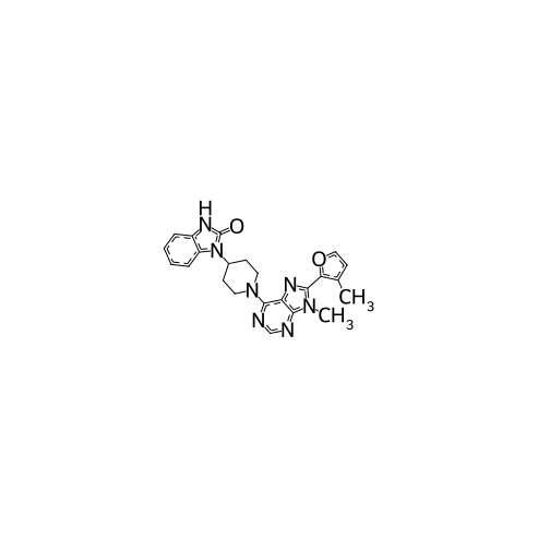 Cc1ccoc1-c1nc2c(N3CCC(n4c(=O)[nH]c5ccccc54)CC3)ncnc2n1C